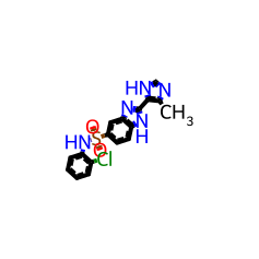 Cc1nc[nH]c1-c1nc2cc(S(=O)(=O)Nc3ccccc3Cl)ccc2[nH]1